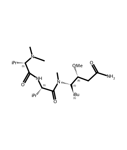 CC[C@H](C)[C@@H]([C@@H](CC(N)=O)OC)N(C)C(=O)[C@@H](NC(=O)[C@H](C(C)C)N(C)C)C(C)C